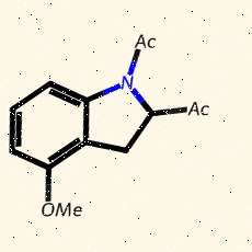 COc1cccc2c1CC(C(C)=O)N2C(C)=O